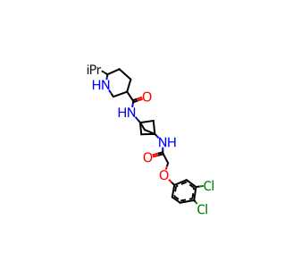 CC(C)C1CCC(C(=O)NC23CC(NC(=O)COc4ccc(Cl)c(Cl)c4)(C2)C3)CN1